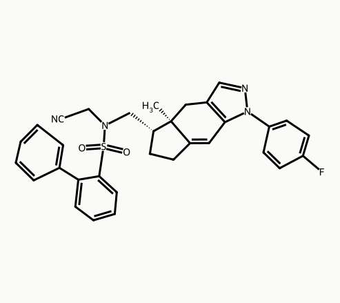 C[C@]12Cc3cnn(-c4ccc(F)cc4)c3C=C1CC[C@@H]2CN(CC#N)S(=O)(=O)c1ccccc1-c1ccccc1